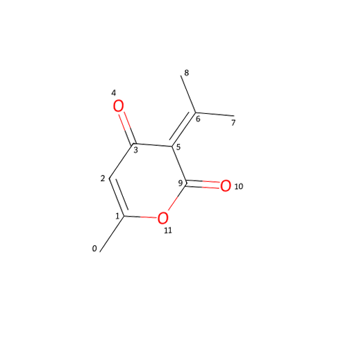 CC1=CC(=O)C(=C(C)C)C(=O)O1